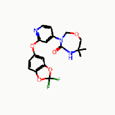 CC1(C)COCN(c2ccnc(Oc3ccc4c(c3)OC(F)(F)O4)c2)C(=O)N1